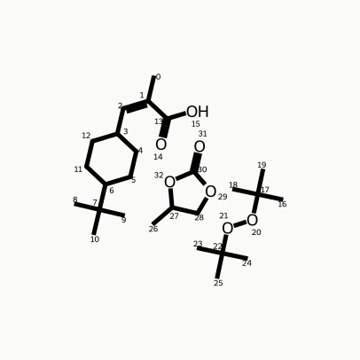 CC(=CC1CCC(C(C)(C)C)CC1)C(=O)O.CC(C)(C)OOC(C)(C)C.CC1COC(=O)O1